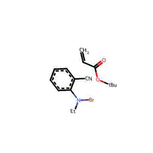 C=CC(=O)OC(C)(C)C.CCN(Br)c1ccccc1C#N